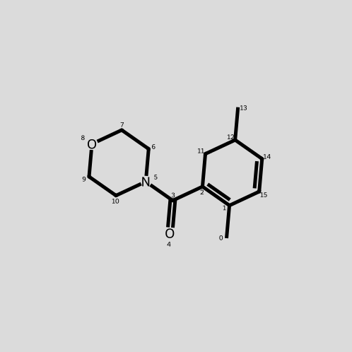 CC1=C(C(=O)N2CCOCC2)CC(C)C=C1